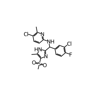 Cc1nc(NC(c2ccc(F)c(Cl)c2)c2nc(S(C)(=O)=O)c(C)[nH]2)ccc1Cl